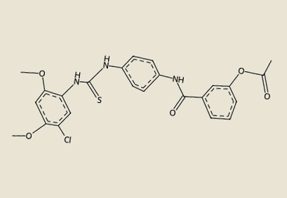 COc1cc(OC)c(NC(=S)Nc2ccc(NC(=O)c3cccc(OC(C)=O)c3)cc2)cc1Cl